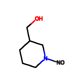 O=NN1CCCC(CO)C1